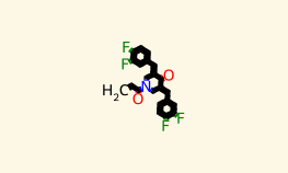 C=CC(=O)N1C/C(=C\c2ccc(F)c(F)c2)C(=O)/C(=C/c2ccc(F)c(F)c2)C1